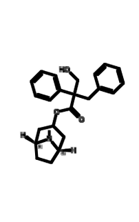 CN1[C@@H]2CC[C@H]1CC(OC(=O)C(CO)(Cc1ccccc1)c1ccccc1)C2